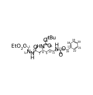 CCOC(=O)CN(C)NC(=O)C[C@H](CCCNC(=O)OCc1ccccc1)NC(=O)OC(C)(C)C